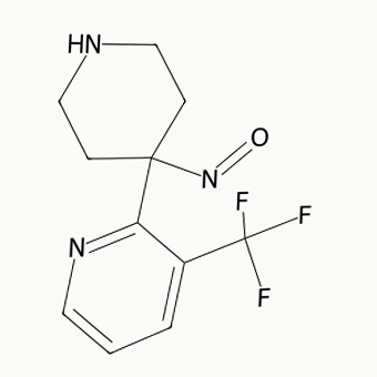 O=NC1(c2ncccc2C(F)(F)F)CCNCC1